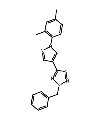 Cc1ccc(-n2cc(-c3nnn(Cc4ccccc4)n3)cn2)c(C)c1